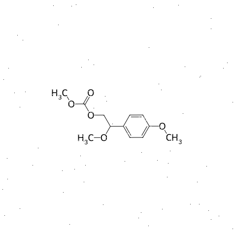 COC(=O)OCC(OC)c1ccc(OC)cc1